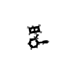 C#Cc1cccc[n+]1C.c1cc2ccc1-2